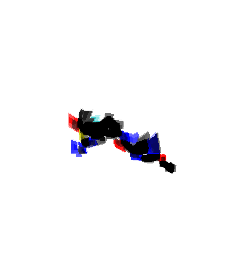 C#CCOc1cnc(C(=O)Nc2ccc(F)c([C@@]3(C)N=C(N)S[C@@]4([C@H](O)C(F)(F)F)C[C@H]43)c2)cn1